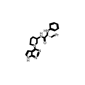 CC(C)C[C@@H](Nc1ccccc1)C(=O)NC1CCCN(c2ncnc3[nH]ccc23)C1